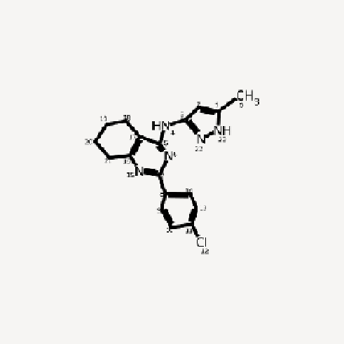 Cc1cc(Nc2nc(-c3ccc(Cl)cc3)nc3c2CCCC3)n[nH]1